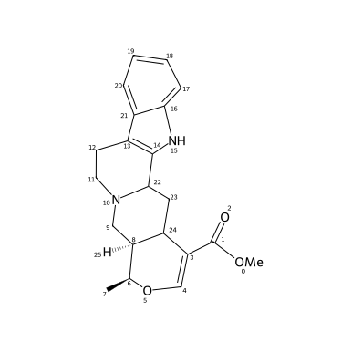 COC(=O)C1=CO[C@@H](C)[C@H]2CN3CCc4c([nH]c5ccccc45)C3CC12